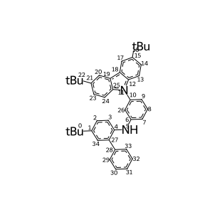 CC(C)(C)c1ccc(Nc2cccc(-n3c4ccc(C(C)(C)C)cc4c4cc(C(C)(C)C)ccc43)c2)c(-c2ccccc2)c1